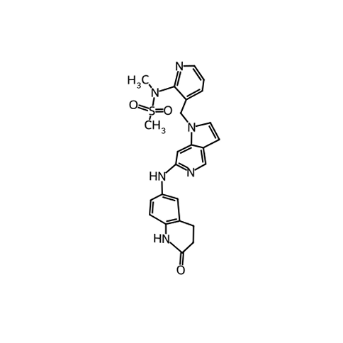 CN(c1ncccc1Cn1ccc2cnc(Nc3ccc4c(c3)CCC(=O)N4)cc21)S(C)(=O)=O